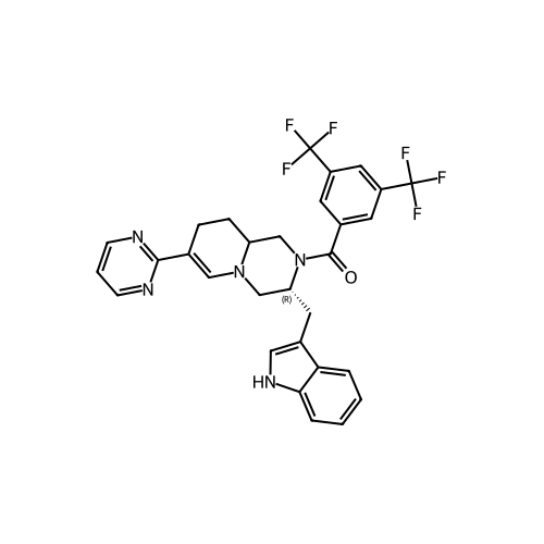 O=C(c1cc(C(F)(F)F)cc(C(F)(F)F)c1)N1CC2CCC(c3ncccn3)=CN2C[C@H]1Cc1c[nH]c2ccccc12